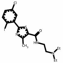 CCN(CC)CCNC(=O)c1sc(-c2cc(Cl)ccc2I)nc1C